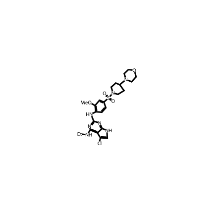 CCNc1nc(Nc2ccc(S(=O)(=O)N3CCC(N4CCOCC4)CC3)cc2OC)nc2[nH]cc(Cl)c12